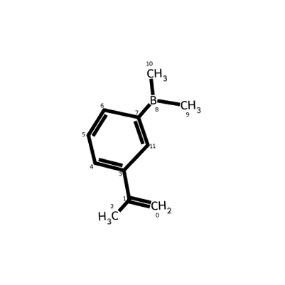 C=C(C)c1cccc(B(C)C)c1